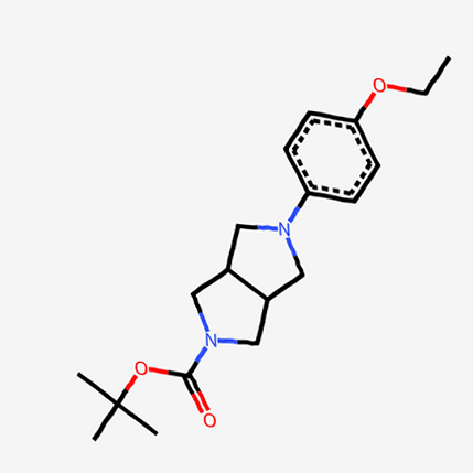 CCOc1ccc(N2CC3CN(C(=O)OC(C)(C)C)CC3C2)cc1